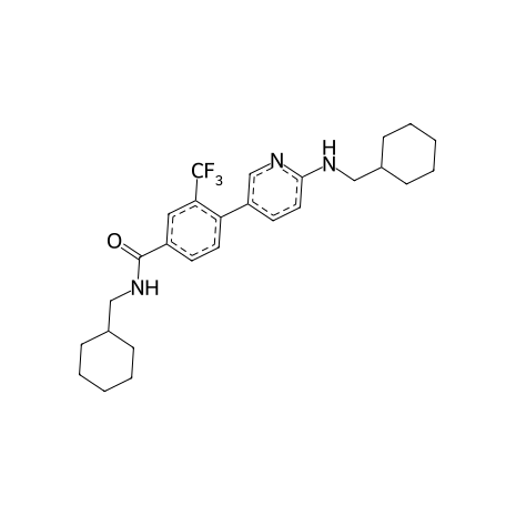 O=C(NCC1CCCCC1)c1ccc(-c2ccc(NCC3CCCCC3)nc2)c(C(F)(F)F)c1